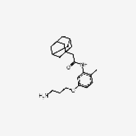 Cc1ccc(OCCCN)cc1NC(=O)CC12CC3CC(CC(C3)C1)C2